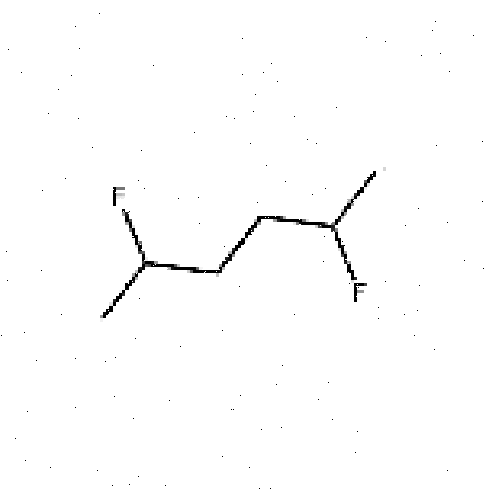 [CH2]C(F)CCC(C)F